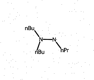 CCCCN(CCCC)[N]CCC